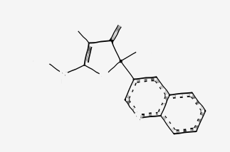 CCOC(=O)NC1=C(O)C(=O)C(C)(c2cnc3ccccc3c2)O1